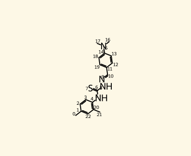 Cc1ccc(NC(=S)NN=Cc2ccc(N(C)C)cc2)c(C)c1